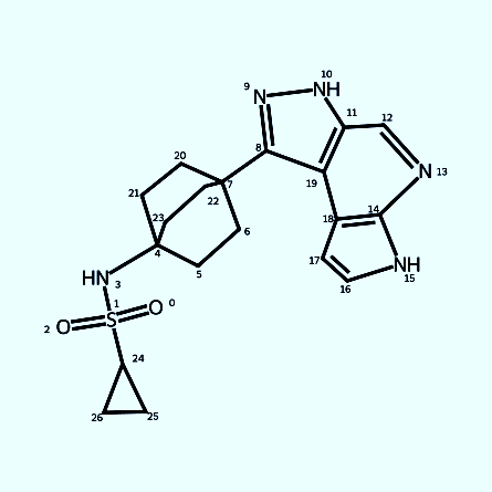 O=S(=O)(NC12CCC(c3n[nH]c4cnc5[nH]ccc5c34)(CC1)CC2)C1CC1